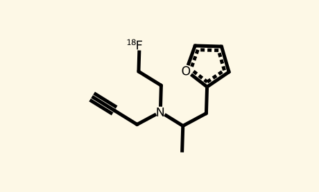 C#CCN(CC[18F])C(C)Cc1ccco1